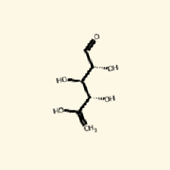 C=C(O)[C@@H](O)[C@@H](O)[C@@H](O)C=O